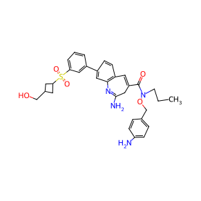 CCCN(OCc1ccc(N)cc1)C(=O)C1=Cc2ccc(-c3cccc(S(=O)(=O)C4CC(CO)C4)c3)cc2N=C(N)C1